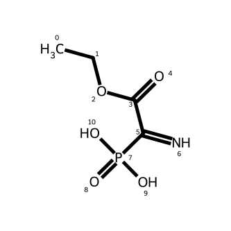 CCOC(=O)C(=N)P(=O)(O)O